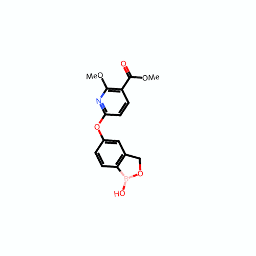 COC(=O)c1ccc(Oc2ccc3c(c2)COB3O)nc1OC